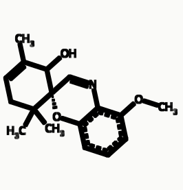 COc1cccc2c1N=C[C@]1(O2)C(O)C(C)=CCC1(C)C